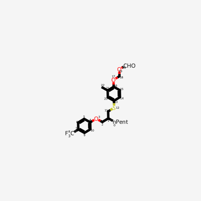 CCCCCC(COc1ccc(C(F)(F)F)cc1)CSc1ccc(OCOC=O)c(C)c1